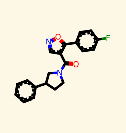 O=C(c1cnoc1-c1ccc(F)cc1)N1CCC(c2ccccc2)C1